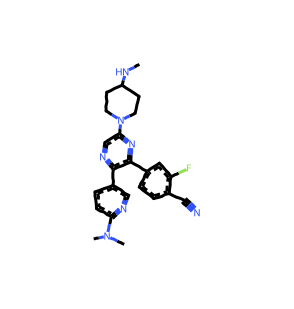 CNC1CCN(c2cnc(-c3ccc(N(C)C)nc3)c(-c3ccc(C#N)c(F)c3)n2)CC1